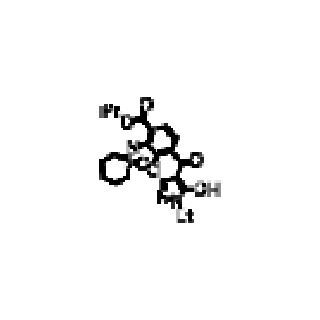 CCn1ncc(C(=O)c2ccc(C(=O)OC(C)C)c(N=S3(=O)CCCCC3)c2Cl)c1O